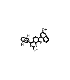 CCCc1nc(N2C[C@H]3CC[C@@H](C2)N3)c2ccc(-c3cc(O)cc4ccccc34)c(F)c2n1